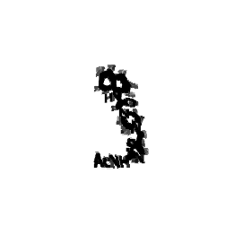 CC(=O)Nc1ncc(CN2CCN(CC(=O)Nc3cccc4ccccc34)CC2)s1